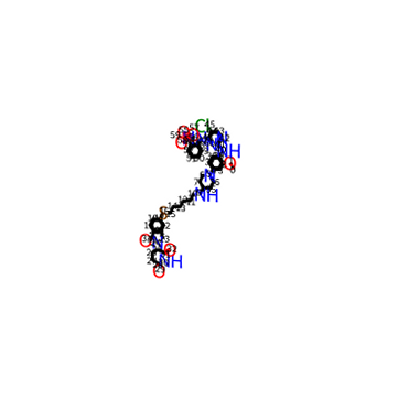 COc1cc(N2CCC(NCCCCCCSc3ccc4c(c3)CN(C3CCC(=O)NC3=O)C4=O)CC2)ccc1Nc1ncc(Cl)c(Nc2ccccc2P(=O)(OC)OC)n1